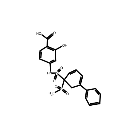 CS(=O)(=O)C1(S(=O)(=O)Nc2ccc(C(=O)O)c(O)c2)C=CC=C(c2ccccc2)C1